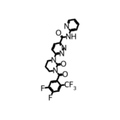 O=C(Nc1ccccn1)c1ccc(N2CCCN(C(=O)c3cc(F)c(F)cc3C(F)(F)F)C2=O)nn1